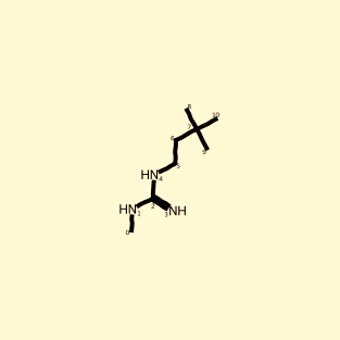 CNC(=N)NCCC(C)(C)C